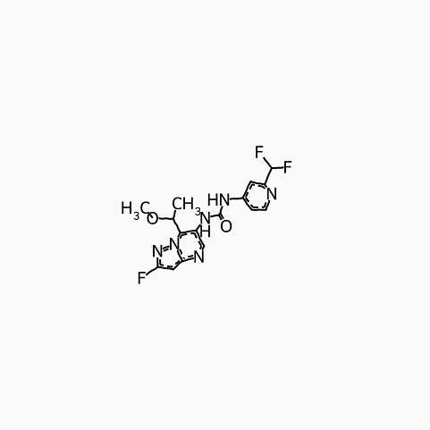 COC(C)c1c(NC(=O)Nc2ccnc(C(F)F)c2)cnc2cc(F)nn12